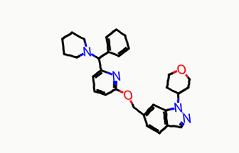 C1=CC(C(c2cccc(OCc3ccc4cnn(C5CCOCC5)c4c3)n2)N2CCCCC2)=CCC1